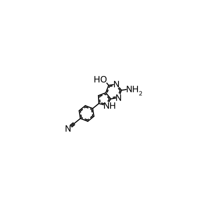 N#Cc1ccc(-c2cc3c(O)nc(N)nc3[nH]2)cc1